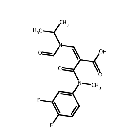 CC(C)N(C=O)/C=C(/C(=O)O)C(=O)N(C)c1ccc(F)c(F)c1